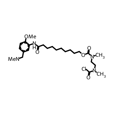 CNCc1ccc(OC)c(NC(=O)CCCCCCCCCOC(=O)N(C)CCN(C)C(=O)Cl)c1